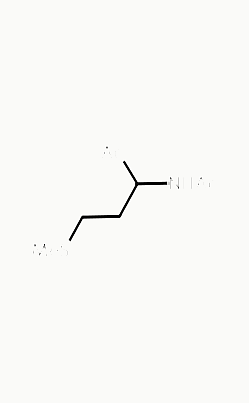 CSCCC(NC(C)=O)C(C)=O